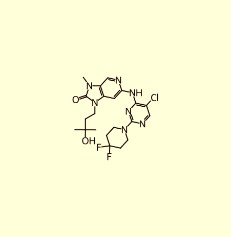 Cn1c(=O)n(CCC(C)(C)O)c2cc(Nc3nc(N4CCC(F)(F)CC4)ncc3Cl)ncc21